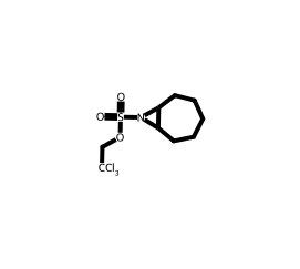 O=S(=O)(OCC(Cl)(Cl)Cl)N1C2CCCCCC21